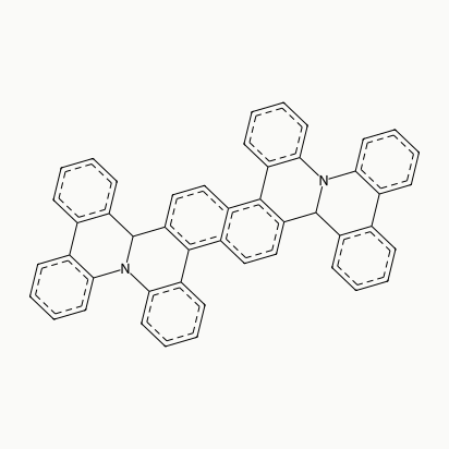 c1ccc2c(c1)-c1ccccc1N1c3ccccc3-c3c(ccc4c5c(ccc34)C3c4ccccc4-c4ccccc4N3c3ccccc3-5)C21